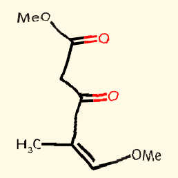 COC=C(C)C(=O)CC(=O)OC